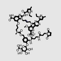 CCn1nc(C)cc1C(=O)Nc1nc2cc(C(N)=O)cc(OCCCN(C)C(=O)OCc3ccc(O[C@@H]4O[C@H](C(=O)O)[C@@H](O)[C@H](O)[C@H]4O)c(NC(=O)CCNC(=O)CCN4C(=O)C=CC4=O)c3)c2n1C/C=C/Cn1c2nc(-c3cc(C)nn3CC)ncc2c2nc(C(N)=O)cc(OC)c21